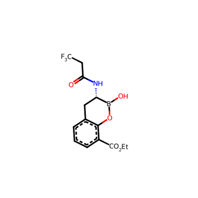 CCOC(=O)c1cccc2c1OB(O)[C@@H](NC(=O)CC(F)(F)F)C2